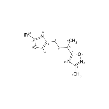 Cc1noc(C(C)CCc2nsc(C(C)C)n2)n1